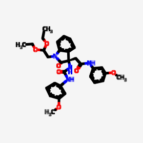 CCOC(CN1C(=O)[C@@](CC(=O)Nc2cccc(OC)c2)(NC(=O)Nc2cccc(OC)c2)c2ccccc21)OCC